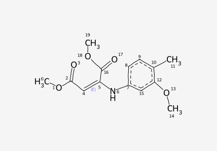 COC(=O)/C=C(/Nc1ccc(C)c(OC)c1)C(=O)OC